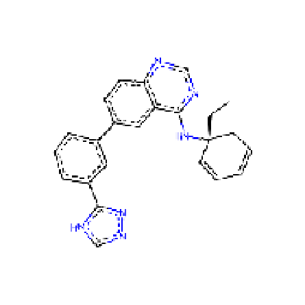 CC[C@]1(Nc2ncnc3ccc(-c4cccc(-c5nnc[nH]5)c4)cc23)C=CC=CC1